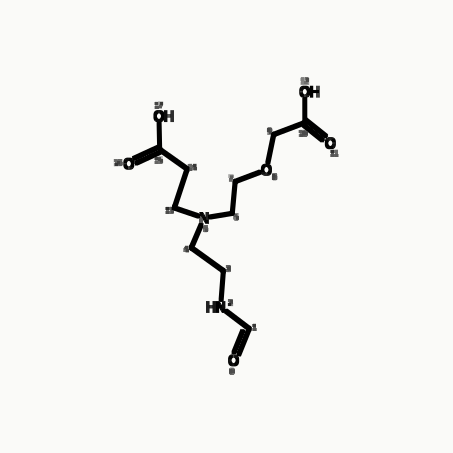 O=CNCCN(CCOCC(=O)O)CCC(=O)O